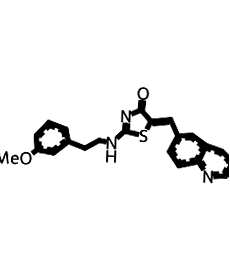 COc1cccc(CCNC2=NC(=O)/C(=C/c3ccc4ncccc4c3)S2)c1